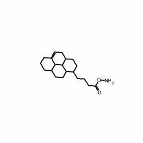 NOC(=O)CCCC1CCC2CC=C3CCCC4CCC1C2C34